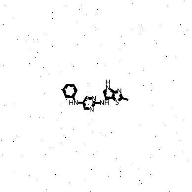 Cc1nc2[nH]cc(Nc3ncc(Nc4ccccc4)cn3)c2s1